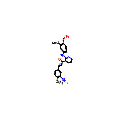 COc1ccc(/C=C/C(=O)c2cccnc2Nc2ccc(CO)c(OC)c2)cc1N